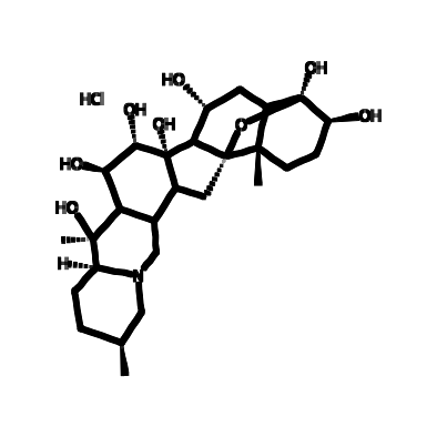 C[C@H]1CC[C@@H]2N(CC3C4C[C@@]56O[C@@]7(O)C(C[C@@H](O)C5[C@]4(O)[C@@H](O)[C@H](O)C3[C@]2(C)O)[C@]6(C)CC[C@@H]7O)C1.Cl